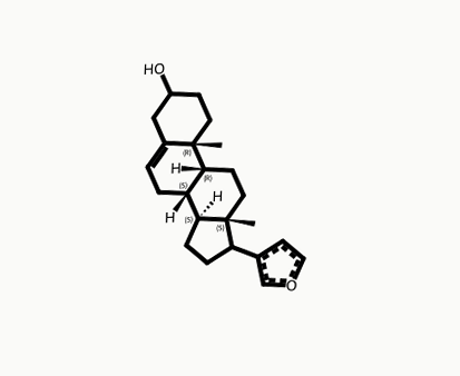 C[C@]12CCC(O)CC1=CC[C@@H]1[C@H]2CC[C@]2(C)C(c3ccoc3)CC[C@@H]12